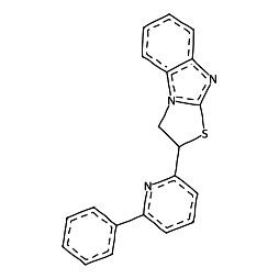 c1ccc(-c2cccc(C3Cn4c(nc5ccccc54)S3)n2)cc1